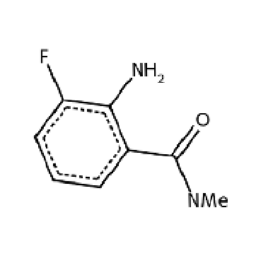 CNC(=O)c1cccc(F)c1N